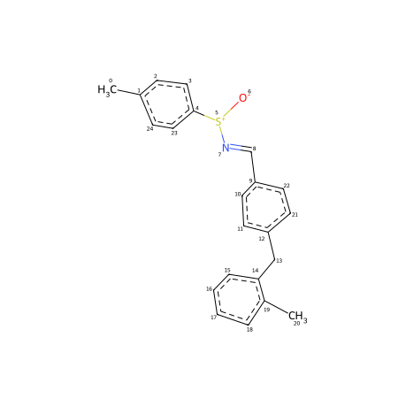 Cc1ccc([S+]([O-])N=Cc2ccc(Cc3ccccc3C)cc2)cc1